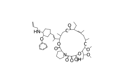 C=CCNC1CCC(C=C(C)C2OC(=O)C3CCCCN3C(=O)C(=O)C3(O)OC(C(OC)CC(C)C/C(C)=C/C(CC)C(=O)CCC2C)C(OC)CC3C)CC1Oc1ccccc1